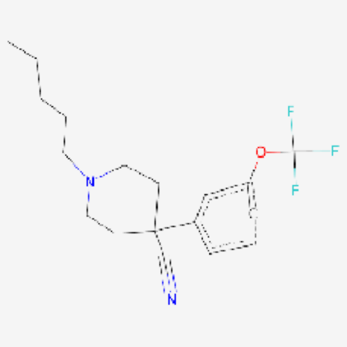 CCCCCN1CCC(C#N)(c2cccc(OC(F)(F)F)c2)CC1